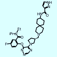 CCN(C(=O)c1cc(F)ccc1Oc1nncnc1N1CC[C@@H](CN2CCC3(CCC(NC(=O)c4cc[nH]n4)CC3)CC2)C1)C(C)C